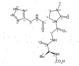 CC[C@H](C)[C@H](NC(=O)O)C(=O)NCC(=O)N1C(=O)N(C)C[C@H]1C(=O)NCc1nn[nH]n1